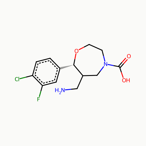 NCC1CN(C(=O)O)CCO[C@H]1c1ccc(Cl)c(F)c1